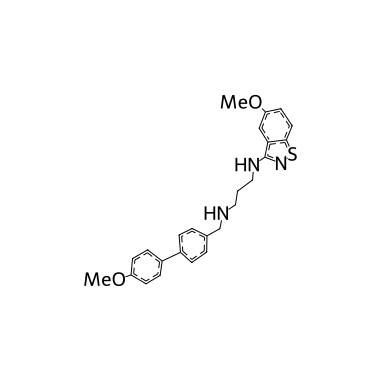 COc1ccc(-c2ccc(CNCCCNc3nsc4ccc(OC)cc34)cc2)cc1